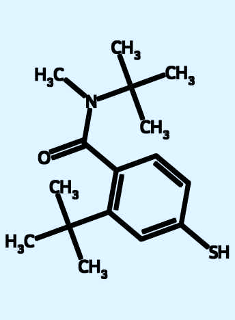 CN(C(=O)c1ccc(S)cc1C(C)(C)C)C(C)(C)C